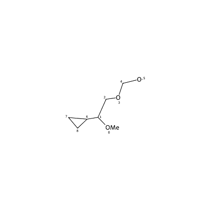 COC(COC[O])C1CC1